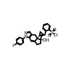 CCS(=O)(=O)c1ccccc1CC[C@]1(O)CCC2=Cc3c(cnn3-c3ccc(F)cc3)C[C@@]21C1CC1